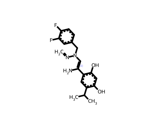 C=NN(/C=C(\N)c1cc(C(C)C)c(O)cc1O)Cc1ccc(F)c(F)c1